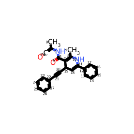 CC(=C=O)NC(=O)C1=C(C)NC(c2ccccc2)=CC1C#Cc1ccccc1